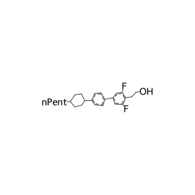 CCCCCC1CCC(c2ccc(-c3cc(F)c(CCO)c(F)c3)cc2)CC1